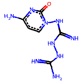 N=C(N)NNC(=N)Nn1ccc(N)nc1=O